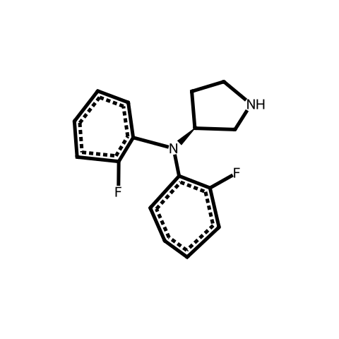 Fc1ccccc1N(c1ccccc1F)[C@H]1CCNC1